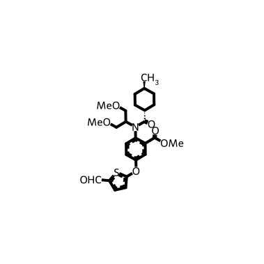 COCC(COC)N(c1ccc(Oc2ccc(C=O)s2)cc1C(=O)OC)C(=O)[C@H]1CC[C@H](C)CC1